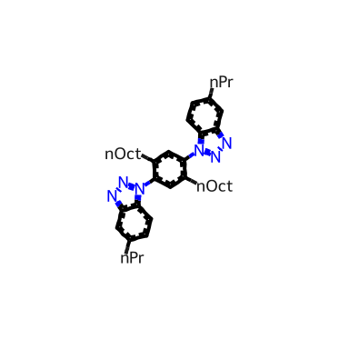 CCCCCCCCc1cc(-n2nnc3cc(CCC)ccc32)c(CCCCCCCC)cc1-n1nnc2cc(CCC)ccc21